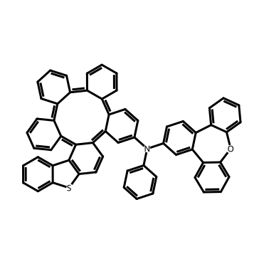 c1ccc(N(c2ccc3c(c2)-c2ccccc2Oc2ccccc2-3)c2ccc3c4ccccc4c4ccccc4c4ccccc4c4c(ccc5sc6ccccc6c54)c3c2)cc1